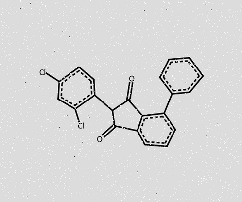 O=C1c2cccc(-c3ccccc3)c2C(=O)C1c1ccc(Cl)cc1Cl